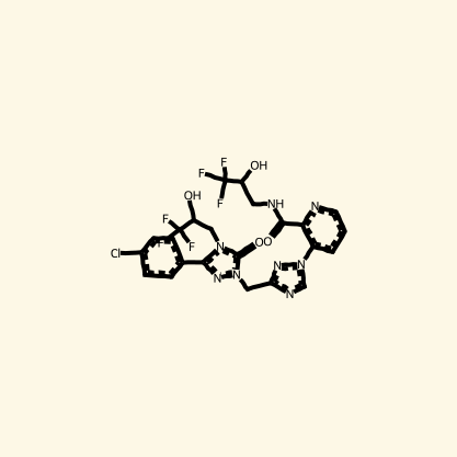 O=C(NCC(O)C(F)(F)F)c1ncccc1-n1cnc(Cn2nc(-c3ccc(Cl)cc3)n(CC(O)C(F)(F)F)c2=O)n1